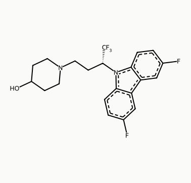 OC1CCN(CC[C@@H](n2c3ccc(F)cc3c3cc(F)ccc32)C(F)(F)F)CC1